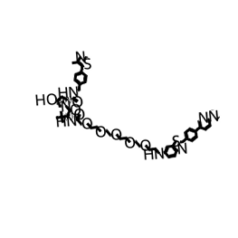 Cc1ncsc1-c1ccc(CNC(=O)[C@H]2C[C@H](O)CN2C(=O)[C@H](NC(=O)COCCOCCOCCOCCOCCNc2ccc3nc(-c4ccc(-c5ccc(N(C)C)nc5)cc4)sc3c2)C(C)(C)C)cc1